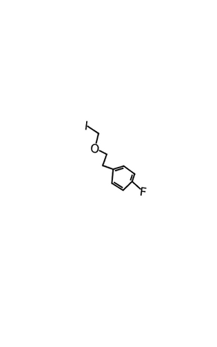 Fc1ccc(CCOCI)cc1